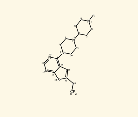 CN1CCC(N2CCN(c3ncnc4sc(CC(F)(F)F)cc34)CC2)CC1